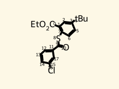 CCOC(=O)c1cc(C(C)(C)C)ccc1SC(=O)c1cccc(Cl)c1